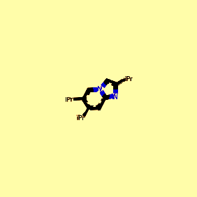 CC(C)c1cn2cc(C(C)C)c(C(C)C)cc2n1